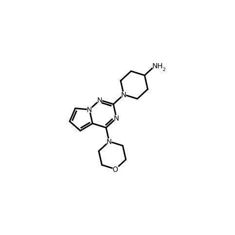 NC1CCN(c2nc(N3CCOCC3)c3cccn3n2)CC1